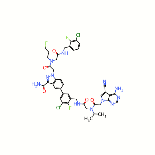 CC(C)N(CC(=O)NCc1cc(-c2ccc3c(c2)c(C(N)=O)nn3CC(=O)N(CCCF)CC(=O)NCc2cccc(Cl)c2F)cc(Cl)c1F)C(=O)Cn1cc(C#N)c2c(N)ncnc21